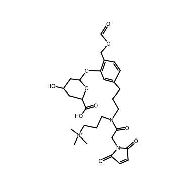 C[N+](C)(C)CCCN(CCCc1ccc(COC=O)c(OC2CC(O)CC(C(=O)O)O2)c1)C(=O)CN1C(=O)C=CC1=O